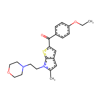 CCOc1ccc(C(=O)c2cc3cc(C)n(CCN4CCOCC4)c3s2)cc1